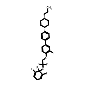 CCC[C@H]1CC[C@H](c2ccc(-c3ccc(OCC(F)(F)OC4(F)C(F)=CCC=C4F)c(F)c3)cc2)CC1